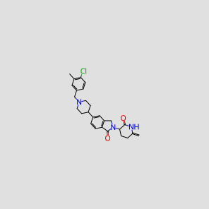 C=C1CCC(N2Cc3cc(C4CCN(Cc5ccc(Cl)c(C)c5)CC4)ccc3C2=O)C(=O)N1